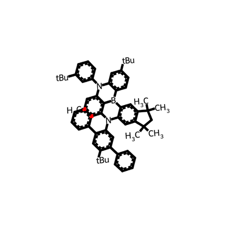 Cc1cc2c3c(c1)N(c1cc(-c4ccccc4)c(C(C)(C)C)cc1-c1ccccc1)c1cc4c(cc1B3c1ccc(C(C)(C)C)cc1N2c1cccc(C(C)(C)C)c1)C(C)(C)CC4(C)C